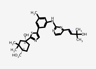 Cc1cc(Nc2nccc(/C=C/C(C)(C)O)n2)cc(-c2cnc([C@@]3(O)CC[C@H](C(=O)O)C(C)(C)C3)s2)c1